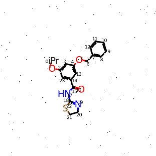 CC(C)Oc1cc(OCc2ccccc2)cc(C(=O)NC2=NCCS2)c1